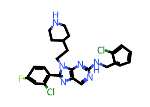 Fc1ccc(-c2nc3cnc(NCc4ccccc4Cl)nc3n2CCC2CCNCC2)c(Cl)c1